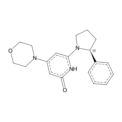 O=c1cc(N2CCOCC2)cc(N2CCC[C@H]2c2ccccc2)[nH]1